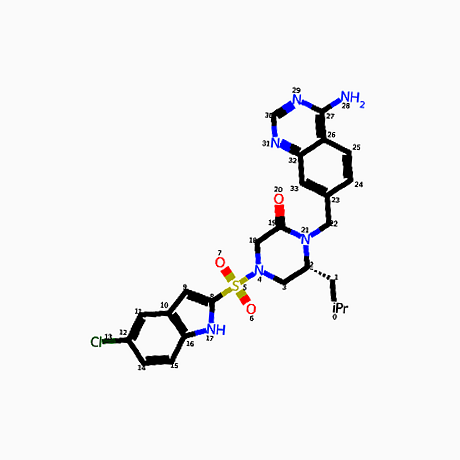 CC(C)C[C@@H]1CN(S(=O)(=O)c2cc3cc(Cl)ccc3[nH]2)CC(=O)N1Cc1ccc2c(N)ncnc2c1